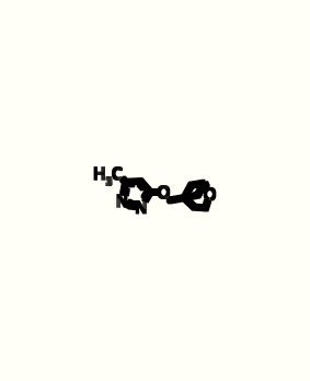 Cc1cc(OCC23CCOC(C2)C3)ncn1